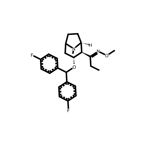 CCC(=NOC)[C@H]1[C@H](OC(c2ccc(F)cc2)c2ccc(F)cc2)CC2CC[C@@H]1N2C